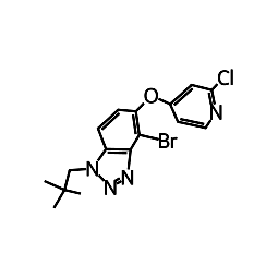 CC(C)(C)Cn1nnc2c(Br)c(Oc3ccnc(Cl)c3)ccc21